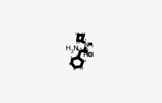 CN(C(=O)[C@@H](N)C1CCCCC1)C1CCC1.Cl